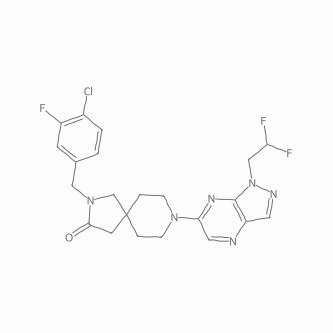 O=C1CC2(CCN(c3cnc4cnn(CC(F)F)c4n3)CC2)CN1Cc1ccc(Cl)c(F)c1